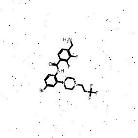 NCc1ccc(C(=O)Nc2ccc(Br)cc2N2CCN(CCC(F)(F)F)CC2)c(F)c1F